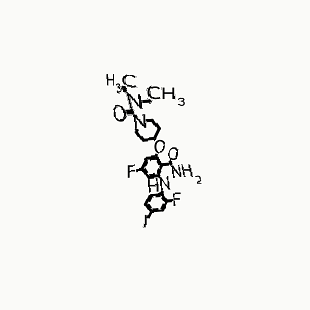 CCN(CC)C(=O)N1CCC(Oc2cc(F)cc(Nc3ccc(I)cc3F)c2C(N)=O)CC1